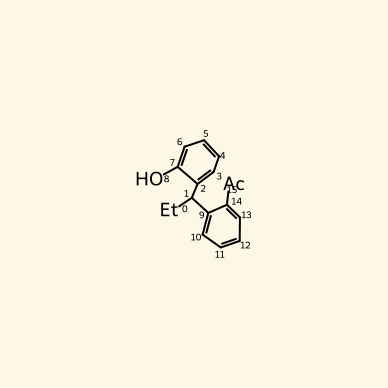 CCC(c1ccccc1O)c1ccccc1C(C)=O